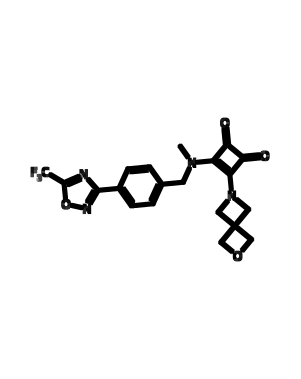 CN(Cc1ccc(-c2noc(C(F)(F)F)n2)cc1)c1c(N2CC3(COC3)C2)c(=O)c1=O